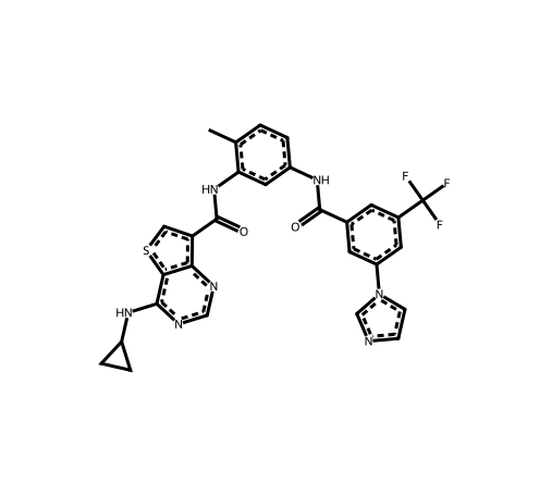 Cc1ccc(NC(=O)c2cc(-n3ccnc3)cc(C(F)(F)F)c2)cc1NC(=O)c1csc2c(NC3CC3)ncnc12